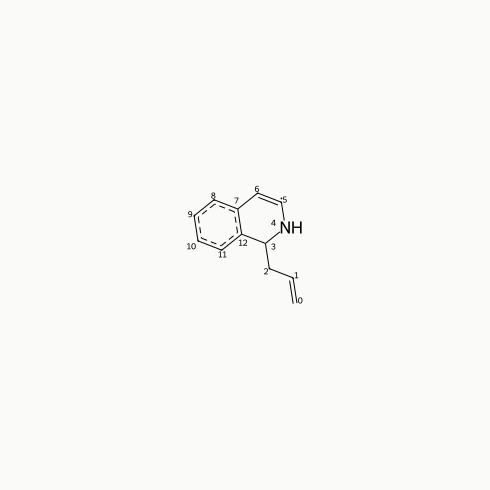 C=CCC1N[C]=Cc2ccccc21